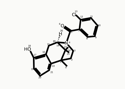 CC12CCN(C(=O)c3ccccc3Cl)[C@H](Cc3c(O)cccc31)C2(C)C